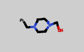 CC(C)CN1CCN(CO)CC1